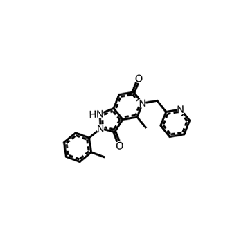 Cc1ccccc1-n1[nH]c2cc(=O)n(Cc3ccccn3)c(C)c2c1=O